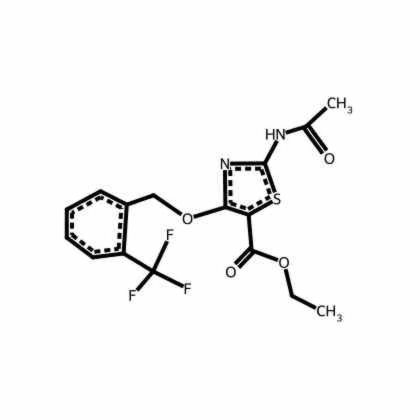 CCOC(=O)c1sc(NC(C)=O)nc1OCc1ccccc1C(F)(F)F